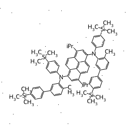 Cc1ccc(-c2ccc([Si](C)(C)C)cc2)cc1N(c1ccc([Si](C)(C)C)cc1)c1cc(C(C)C)c2ccc3c(N(c4ccc([Si](C)(C)C)cc4)c4cc(-c5ccc([Si](C)(C)C)cc5)ccc4C)cc(C(C)C)c4ccc1c2c43